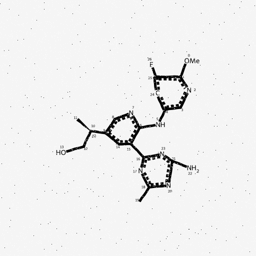 COc1ncc(Nc2ncc([C@H](C)CO)cc2-c2nc(C)nc(N)n2)cc1F